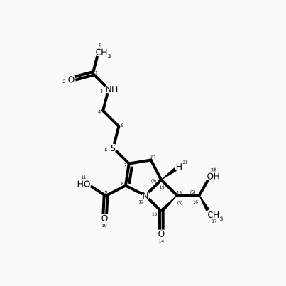 CC(=O)NCCSC1=C(C(=O)O)N2C(=O)[C@H]([C@H](C)O)[C@H]2C1